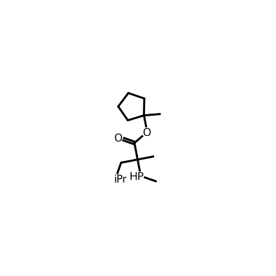 CPC(C)(CC(C)C)C(=O)OC1(C)CCCC1